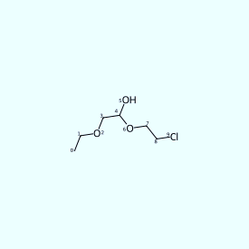 CCOCC(O)OCCCl